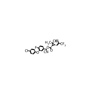 CC1(C)[C@H](C(=O)OC(C#N)c2ccc(F)c(Oc3ccc(Cl)cc3)c2)[C@@H]1/C=C(\Cl)C(F)(F)F